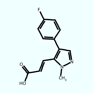 Cn1ncc(-c2ccc(F)cc2)c1C=CC(=O)O